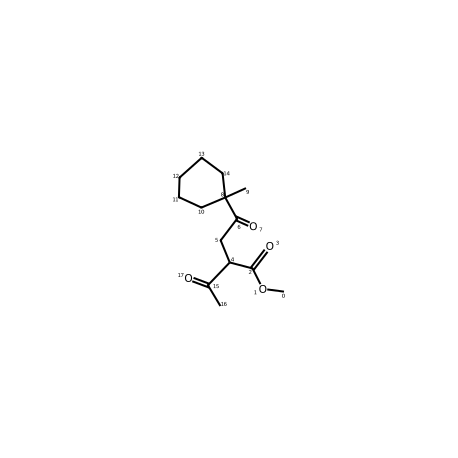 COC(=O)C(CC(=O)C1(C)CCCCC1)C(C)=O